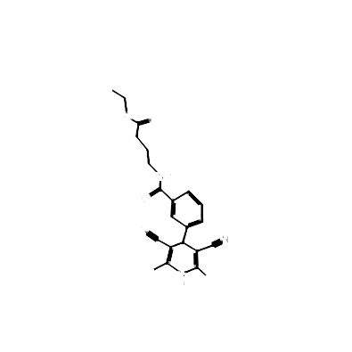 CCOC(=O)CCCNC(=O)c1cccc(C2C(C#N)=C(C)NC(C)=C2C#N)c1